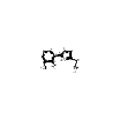 Clc1cccc(-c2ccc(CBr)s2)c1Cl